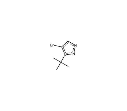 CC(C)(C)n1nncc1Br